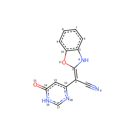 N#CC(=C1Nc2ccccc2O1)c1cc(=O)[nH]cn1